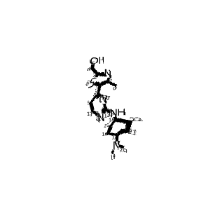 Cc1nc(CO)sc1-c1ccnc(Nc2ccc(N(C)C)cc2)n1